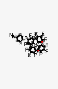 Fc1c(F)c(F)c([B-](c2c(F)c(F)c(F)c(F)c2F)(c2c(F)c(F)c(F)c(F)c2F)c2c(F)c(F)c(F)c(F)c2F)c(F)c1F.N#[N+]c1ccccc1